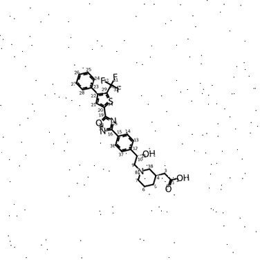 O=C(O)C[C@H]1CCCN(C[C@@H](O)c2ccc(-c3noc(-c4cc(-c5ccccc5)c(C(F)(F)F)s4)n3)cc2)C1